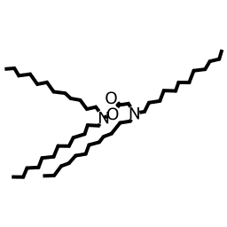 CCCCCCCCCCCCN(CCCCCCCCCCCC)CC(=O)ON(CCCCCCCCCCCC)CCCCCCCCCCCC